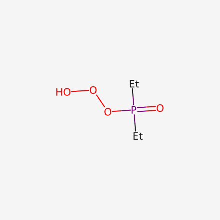 CCP(=O)(CC)OOO